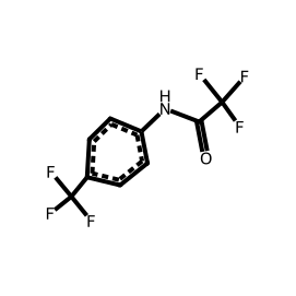 O=C(Nc1ccc(C(F)(F)F)cc1)C(F)(F)F